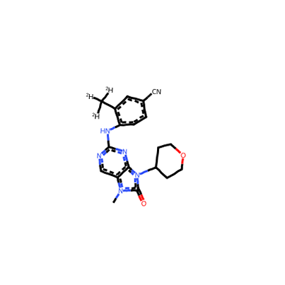 [2H]C([2H])([2H])c1cc(C#N)ccc1Nc1ncc2c(n1)n(C1CCOCC1)c(=O)n2C